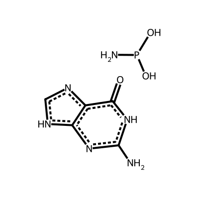 NP(O)O.Nc1nc2[nH]cnc2c(=O)[nH]1